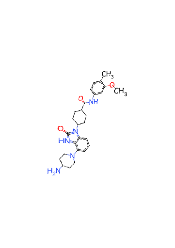 COc1cc(NC(=O)C2CCC(n3c(=O)[nH]c4c(N5CCC(N)CC5)cccc43)CC2)ccc1C